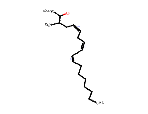 CCCCCC(O)C(C/C=C\C/C=C\C=C/CCCCCC[C]=O)[N+](=O)[O-]